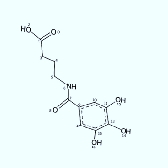 O=C(O)CCCNC(=O)c1cc(O)c(O)c(O)c1